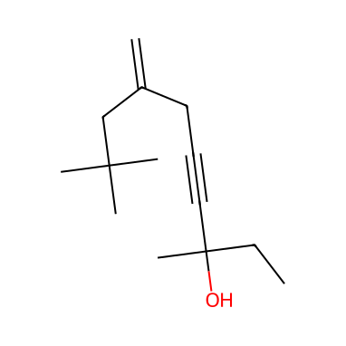 C=C(CC#CC(C)(O)CC)CC(C)(C)C